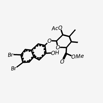 COC(=O)C1OC(Oc2cc3cc(Br)c(Br)cc3cc2O)C(OC(C)=O)C(C)C1C